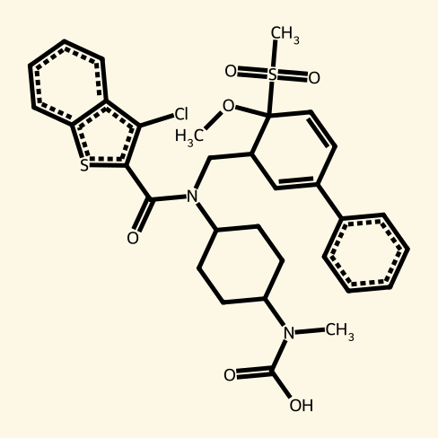 COC1(S(C)(=O)=O)C=CC(c2ccccc2)=CC1CN(C(=O)c1sc2ccccc2c1Cl)C1CCC(N(C)C(=O)O)CC1